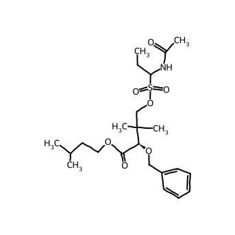 CCC(NC(C)=O)S(=O)(=O)OCC(C)(C)[C@@H](OCc1ccccc1)C(=O)OCCC(C)C